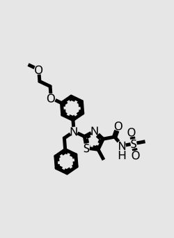 COCCOc1cccc(N(Cc2ccccc2)c2nc(C(=O)NS(C)(=O)=O)c(C)s2)c1